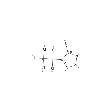 ClC(Cl)(Cl)C(Cl)(Cl)c1nnnn1Br